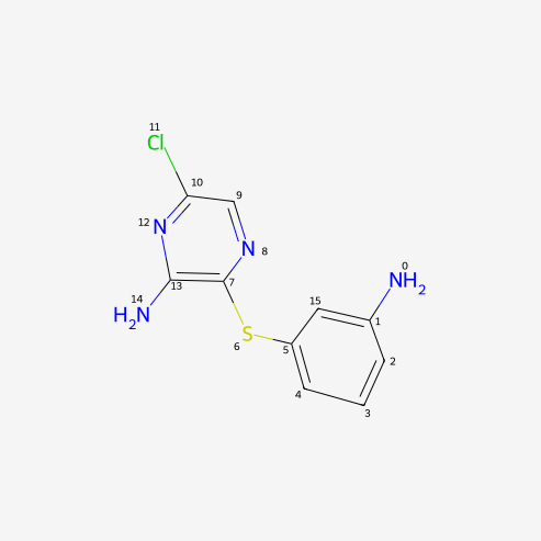 Nc1cccc(Sc2ncc(Cl)nc2N)c1